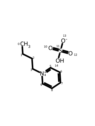 CCCC[n+]1ccccc1.O=S(=O)([O-])O